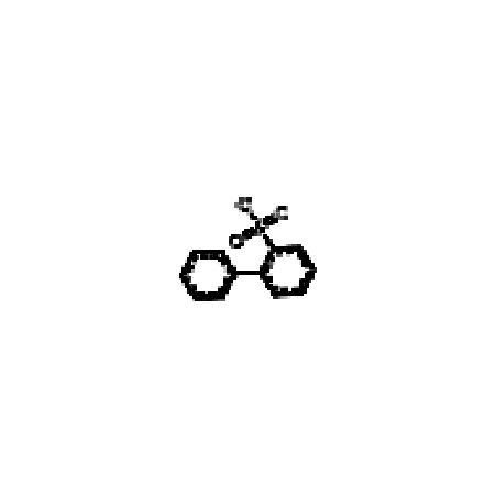 [O]S(=O)(=O)c1ccccc1-c1ccccc1